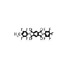 Cc1c(F)c(F)c(-n2c(=O)c3cc4c(=O)n(-c5c(F)c(F)c(F)c(F)c5F)c(=O)c4cc3c2=O)c(F)c1F